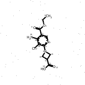 CCOC(=O)c1cnc(N2CC(C(=O)O)C2)c(Cl)c1N